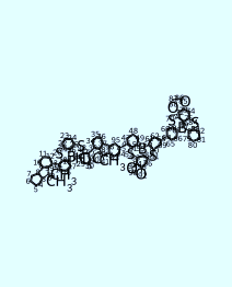 CC1(C)c2ccccc2-c2cccc(-c3cccc4c3Sc3cccc5c3B4c3cccc(-c4cccc6c4C(C)(C)c4ccc(-c7cccc8c7Sc7c9c(cc%10c7B8c7ccc(-c8ccc%11c(c8)Sc8c%12c(cc%13c8B%11c8ccccc8S%13)OCCO%12)cc7S%10)OCO9)cc4-6)c3S5)c21